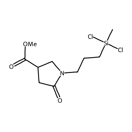 COC(=O)C1CC(=O)N(CCC[Si](C)(Cl)Cl)C1